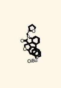 CC(C)COc1ccc(-c2cccc3c2C2(COc4cc5c(cc42)CCO5)C(=O)N3C[C@H]2CCCO2)cc1